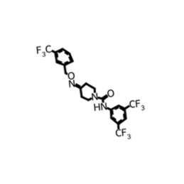 O=C(Nc1cc(C(F)(F)F)cc(C(F)(F)F)c1)N1CCC(=NOCc2cccc(C(F)(F)F)c2)CC1